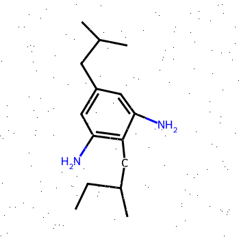 CCC(C)Cc1c(N)cc(CC(C)C)cc1N